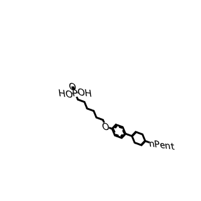 CCCCCC1CCC(c2ccc(OCCCCCCP(=O)(O)O)cc2)CC1